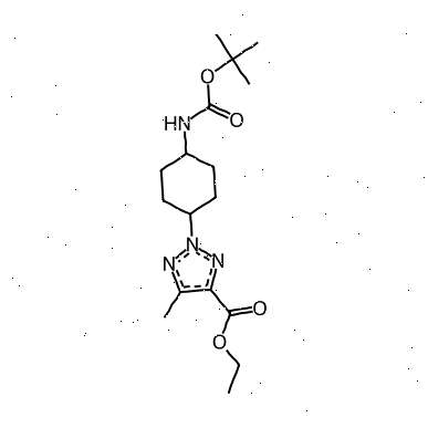 CCOC(=O)c1nn(C2CCC(NC(=O)OC(C)(C)C)CC2)nc1C